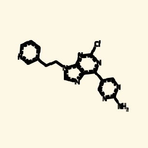 Nc1ncc(-c2nc(Cl)nc3c2ncn3CCc2cccnc2)cn1